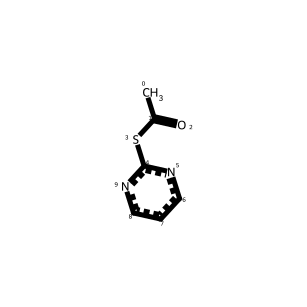 CC(=O)Sc1ncccn1